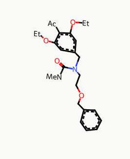 CCOc1cc(CN(CCOCc2ccccc2)C(=O)NC)cc(OCC)c1C(C)=O